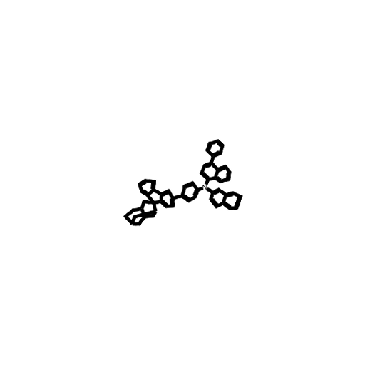 c1ccc(-c2ccc(N(c3ccc(-c4ccc5c(c4)-c4ccccc4C54CC5CCC6CC5CC4C6)cc3)c3ccc4ccccc4c3)c3ccccc23)cc1